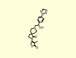 CC1=C(N2CCC3(CCN(CC(O)c4ccc(-n5ncnn5)cc4)CC3)C2=O)COC1=O